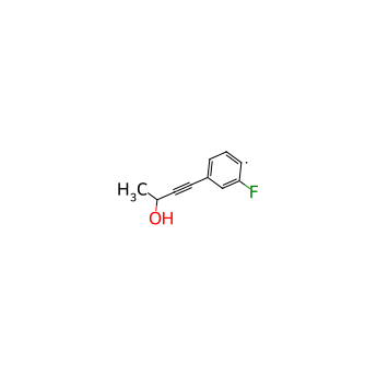 CC(O)C#Cc1cc[c]c(F)c1